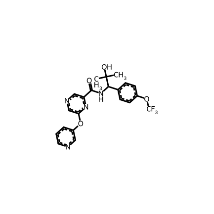 CC(C)(O)C(NC(=O)c1cncc(Oc2cccnc2)n1)c1ccc(OC(F)(F)F)cc1